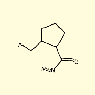 CNC(=O)C1CCCC1CF